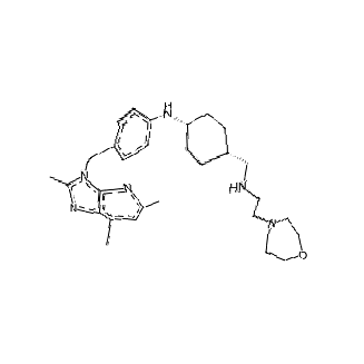 Cc1cc(C)c2nc(C)n(Cc3ccc(N[C@H]4CC[C@@H](CNCCN5CCOCC5)CC4)cc3)c2n1